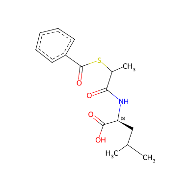 CC(C)C[C@H](NC(=O)C(C)SC(=O)c1ccccc1)C(=O)O